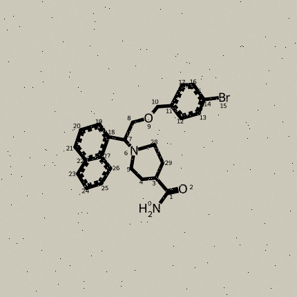 NC(=O)C1CCN(C(COCc2ccc(Br)cc2)c2cccc3ccccc23)CC1